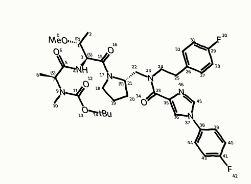 CO[C@H](C)[C@H](NC(=O)[C@H](C)N(C)C(=O)OC(C)(C)C)C(=O)N1CCC[C@H]1CN(CCc1ccc(F)cc1)C(=O)c1cn(-c2ccc(F)cc2)cn1